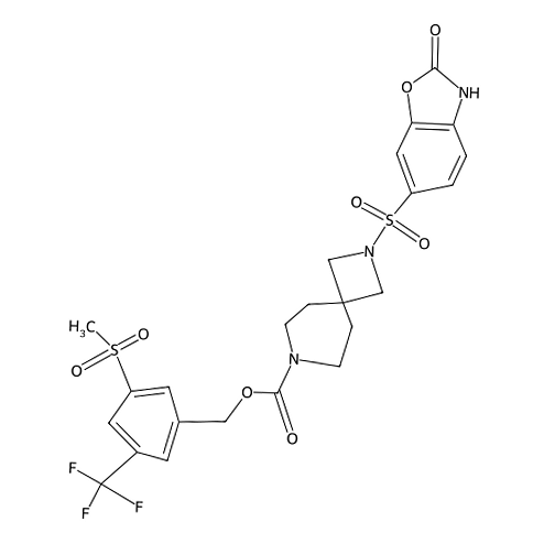 CS(=O)(=O)c1cc(COC(=O)N2CCC3(CC2)CN(S(=O)(=O)c2ccc4[nH]c(=O)oc4c2)C3)cc(C(F)(F)F)c1